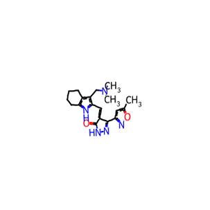 Cc1cc(C2=NNC(=O)C2=Cc2[nH]c3c(c2CN(C)C)CCCC3)no1